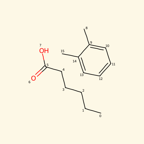 CCCCCC(=O)O.Cc1ccccc1C